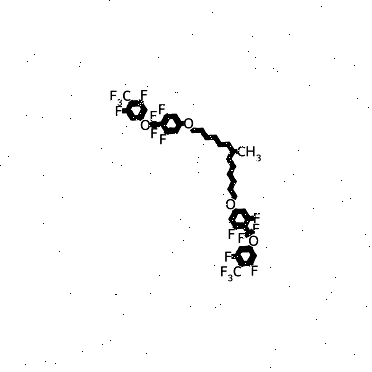 CC(CCCCCCOc1cc(F)c(C(F)(F)Oc2cc(F)c(C(F)(F)F)c(F)c2)c(F)c1)CCCCCCOc1cc(F)c(C(F)(F)Oc2cc(F)c(C(F)(F)F)c(F)c2)c(F)c1